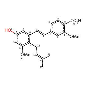 COc1cc(C=Cc2cc(O)cc(OC)c2CC=C(C)C)ccc1C(=O)O